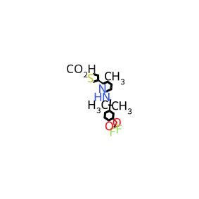 Cc1ccc(NCC(C)(C)c2ccc3c(c2)OC(F)(F)O3)nc1-c1csc(C(=O)O)c1